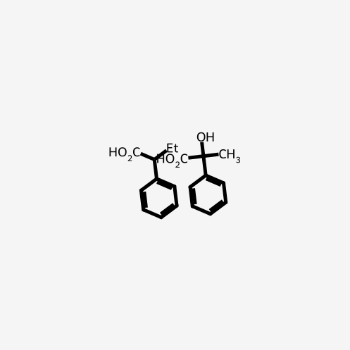 CC(O)(C(=O)O)c1ccccc1.CCC(C(=O)O)c1ccccc1